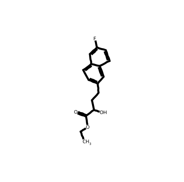 CCOC(=O)C(O)CCc1ccc2cc(F)ccc2c1